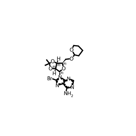 CC1(C)O[C@@H]2[C@H](O1)[C@@H](COC1CCCCO1)O[C@H]2n1c(Br)nc2c(N)ncnc21